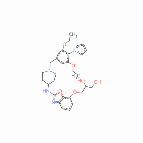 CCOc1cc(CN2CCC(Nc3nc4cccc(OCC(O)CO)c4o3)CC2)cc(OCC)c1-n1cccc1